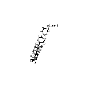 CCCCC[C@H]1CC[C@H](C2CCC(C(F)(F)C(F)(F)C(F)(F)C(F)(F)C(F)(F)C(F)(F)F)CC2)CC1